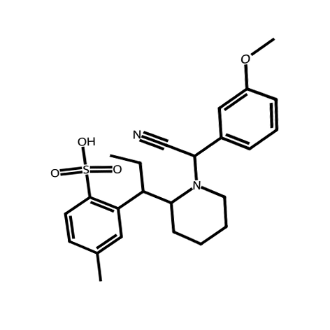 CCC(c1cc(C)ccc1S(=O)(=O)O)C1CCCCN1C(C#N)c1cccc(OC)c1